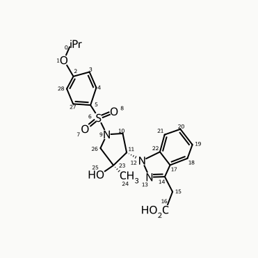 CC(C)Oc1ccc(S(=O)(=O)N2C[C@H](n3nc(CC(=O)O)c4ccccc43)[C@@](C)(O)C2)cc1